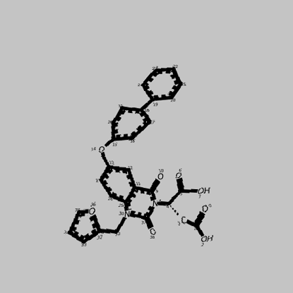 O=C(O)C[C@@H](C(=O)O)n1c(=O)c2cc(Oc3ccc(-c4ccccc4)cc3)ccc2n(Cc2ccco2)c1=O